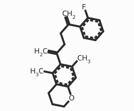 C=C(CCC(=C)c1c(C)cc2c(c1C)CCCO2)c1ccccc1F